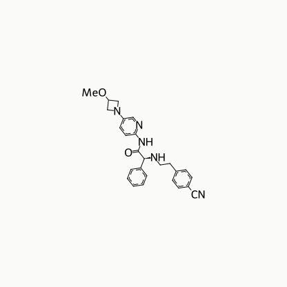 COC1CN(c2ccc(NC(=O)[C@@H](NCCc3ccc(C#N)cc3)c3ccccc3)nc2)C1